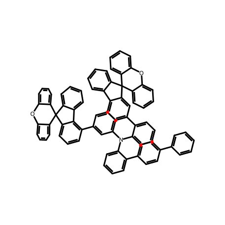 c1ccc(-c2ccc(-c3ccccc3N(c3cccc(-c4cccc5c4-c4ccccc4C54c5ccccc5Oc5ccccc54)c3)c3ccccc3-c3ccc4c(c3)C3(c5ccccc5Oc5ccccc53)c3ccccc3-4)cc2)cc1